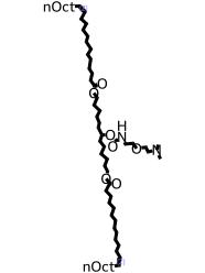 CCCCCCCC/C=C\CCCCCCCCCCCC(=O)OCCCCCCC(CCCCCCOC(=O)CCCCCCCCCCC/C=C\CCCCCCCC)OC(=O)NCCOCCN(C)C